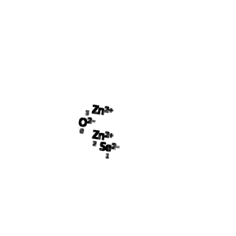 [O-2].[Se-2].[Zn+2].[Zn+2]